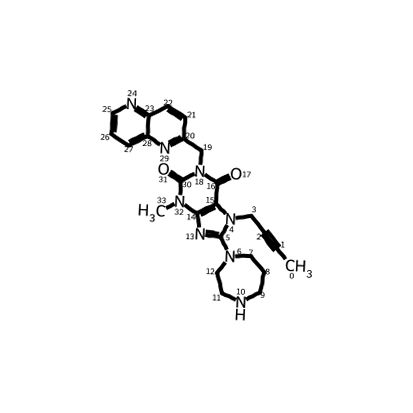 CC#CCn1c(N2CCCNCC2)nc2c1c(=O)n(Cc1ccc3ncccc3n1)c(=O)n2C